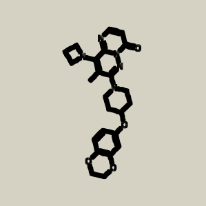 Cc1c(N2CCC(Oc3ccc4c(c3)OCCO4)CC2)nn2c(=O)ccnc2c1N1CCC1